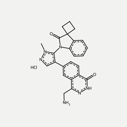 Cl.Cn1ncc(-c2ccc3c(=O)[nH]nc(CN)c3c2)c1N1C(=O)C2(CCC2)c2ccccc21